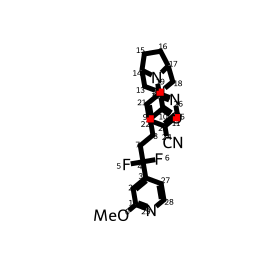 COc1cc(C(F)(F)CCCC(=O)N2CC3CCC(C2)N3c2ccc(C#N)cn2)ccn1